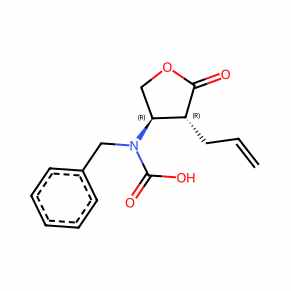 C=CC[C@H]1C(=O)OC[C@@H]1N(Cc1ccccc1)C(=O)O